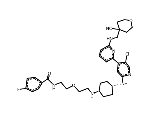 N#CC1(CNc2cccc(-c3cc(N[C@H]4CC[C@H](NCCOCCNC(=O)c5ccc(F)cc5)CC4)ncc3Cl)n2)CCOCC1